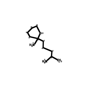 CC(N)CCCC1([SiH3])CCCCO1